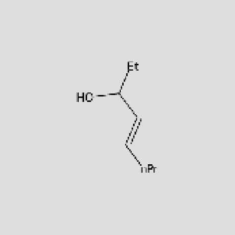 CCCC=CC(O)CC